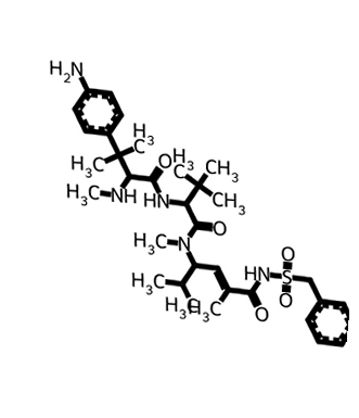 CNC(C(=O)NC(C(=O)N(C)C(C=C(C)C(=O)NS(=O)(=O)Cc1ccccc1)C(C)C)C(C)(C)C)C(C)(C)c1ccc(N)cc1